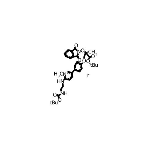 C[n+]1cc(-c2ccc(OC[C@](C)(ON3C(=O)c4ccccc4C3=O)C(=O)OC(C)(C)C)cc2)ccc1NCCNC(=O)OC(C)(C)C.[I-]